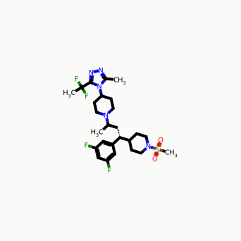 Cc1nnc(C(C)(F)F)n1C1CCN(C(C)C[C@@H](c2cc(F)cc(F)c2)C2CCN(S(C)(=O)=O)CC2)CC1